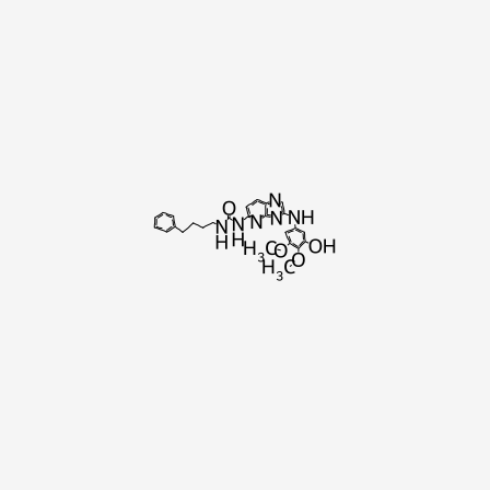 COc1cc(Nc2cnc3ccc(NC(=O)NCCCCc4ccccc4)nc3n2)cc(O)c1OC